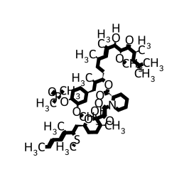 C/C=C/C=C(\C)C(C[C@@H]1CC[C@@H](C)[C@](O)(C(=O)C(=O)N2CCCC[C@H]2C(=O)O[C@@H](CC[C@H](C)/C=C(\C)[C@@H](O)[C@@H](OC)C(=O)[C@H](C)CC(C)C)[C@H](C)C[C@@H]2CC[C@@H](OP(C)(C)=O)[C@H](OC)C2)O1)SC